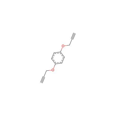 C#CCOc1ccc(OCC#C)cc1